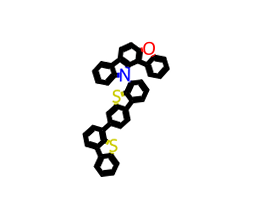 c1ccc2c(c1)oc1ccc3c4ccccc4n(-c4cccc5c4sc4cc(-c6cccc7c6sc6ccccc67)ccc45)c3c12